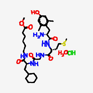 COC(=O)CCCCCNC(=O)[C@H](CC1CCCCC1)NC(=O)CNC(=O)[C@@H](CCSC)NC(=O)[C@H](N)Cc1c(C)cc(O)cc1C.Cl.O